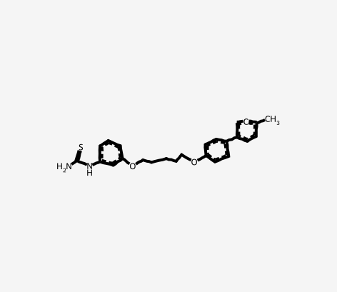 Cc1ccc(-c2ccc(OCCCCCOc3cccc(NC(N)=S)c3)cc2)cc1